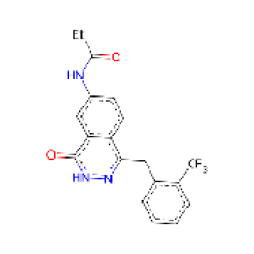 CCC(=O)Nc1ccc2c(Cc3ccccc3C(F)(F)F)n[nH]c(=O)c2c1